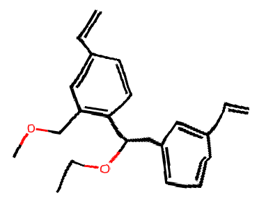 C=Cc1cccc(C(OCC)c2ccc(C=C)cc2COC)c1